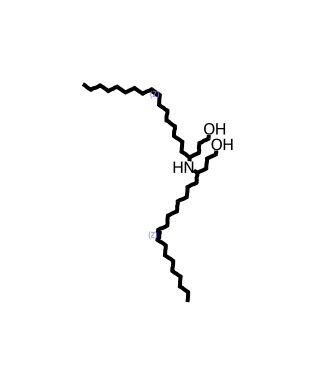 CCCCCCCC/C=C\CCCCCCCC(CCCO)NC(CCCO)CCCCCCC/C=C\CCCCCCCC